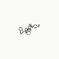 C[C@@]1([C@H](O)c2csc3ccccc23)CCCc2cc3c(cnn3-c3ccc(F)cc3)cc21